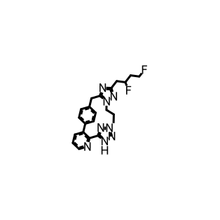 CCCn1nc(CC(F)CCF)nc1Cc1ccc(-c2cccnc2-c2nnn[nH]2)cc1